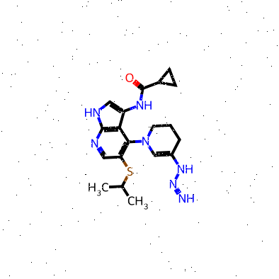 CC(C)Sc1cnc2[nH]cc(NC(=O)C3CC3)c2c1N1C=C(NN=N)CCC1